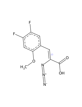 COc1cc(F)c(F)cc1/C=C(\N=[N+]=[N-])C(=O)O